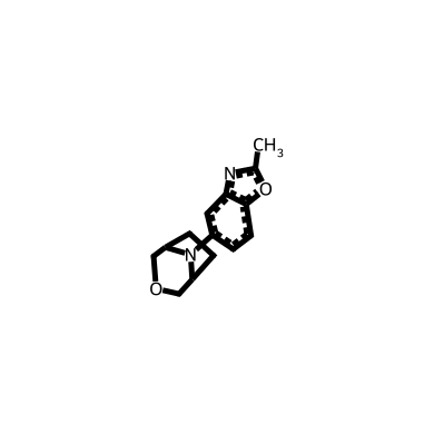 Cc1nc2cc(N3C4CCC3COC4)ccc2o1